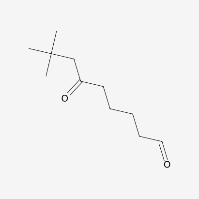 CC(C)(C)CC(=O)CCCCC=O